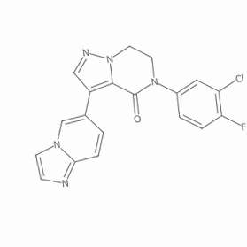 O=C1c2c(-c3ccc4nccn4c3)cnn2CCN1c1ccc(F)c(Cl)c1